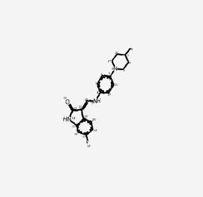 CC1CCN(c2ccc(N/C=C3/C(=O)Nc4cc(F)ccc43)cc2)CC1